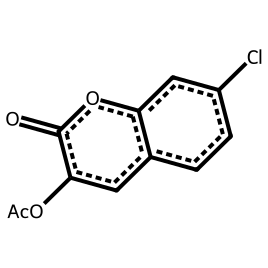 CC(=O)Oc1cc2ccc(Cl)cc2oc1=O